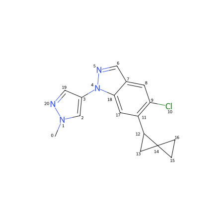 Cn1cc(-n2ncc3cc(Cl)c(C4CC45CC5)cc32)cn1